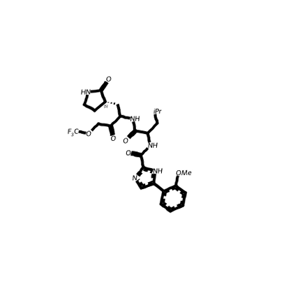 COc1ccccc1-c1cnc(C(=O)NC(CC(C)C)C(=O)NC(C[C@@H]2CCNC2=O)C(=O)COC(F)(F)F)[nH]1